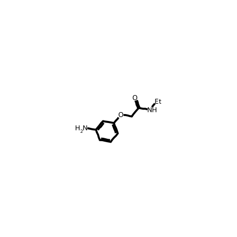 CCNC(=O)COc1cccc(N)c1